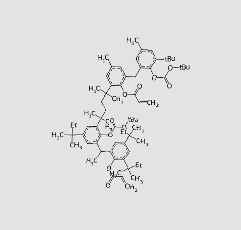 C=CC(=O)Oc1c(Cc2cc(C)cc(C(C)(C)C)c2OC(=O)OC(C)(C)C)cc(C)cc1C(C)(C)CCC(C)(C)c1cc(C(C)(C)CC)cc(C(C)c2cc(C(C)(C)CC)cc(C(C)(C)CC)c2OC(=O)C=C)c1OC(=O)OC(C)(C)C